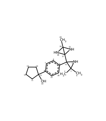 CC1(C)NC1(c1ccc(C2(O)CCCC2)cc1)C12NC1(C)N2